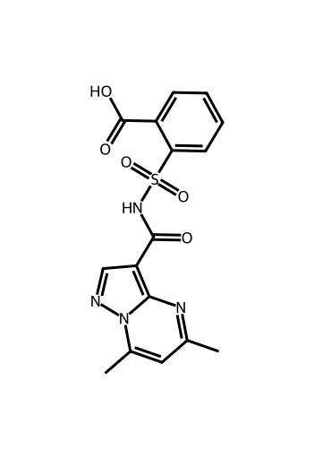 Cc1cc(C)n2ncc(C(=O)NS(=O)(=O)c3ccccc3C(=O)O)c2n1